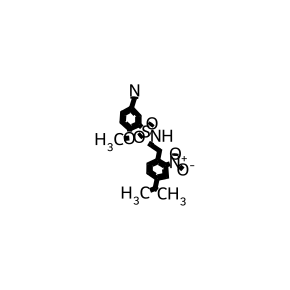 COc1ccc(C#N)cc1S(=O)(=O)NCCc1ccc(C(C)C)cc1[N+](=O)[O-]